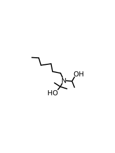 CCCCCCN(C(C)O)C(C)(C)O